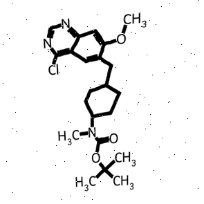 COc1cc2ncnc(Cl)c2cc1CC1CCC(N(C)C(=O)OC(C)(C)C)CC1